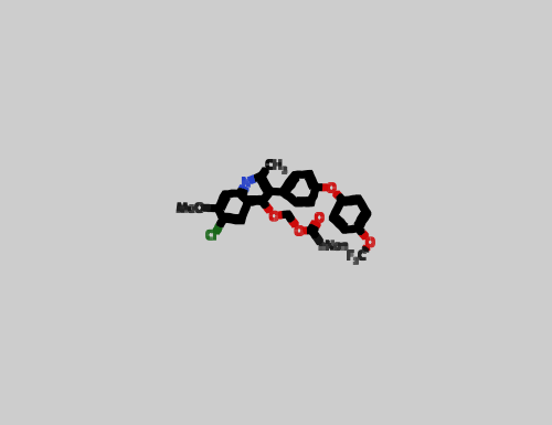 CCCCCCCCCC(=O)OCOc1c(-c2ccc(Oc3ccc(OC(F)(F)F)cc3)cc2)c(C)nc2cc(OC)c(Cl)cc12